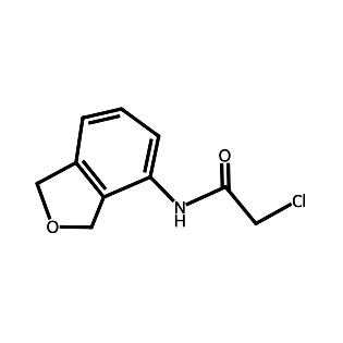 O=C(CCl)Nc1cccc2c1COC2